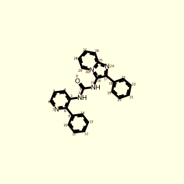 O=C(Nc1cccnc1-c1ccccc1)Nc1c(-c2ccccc2)nc2ccccn12